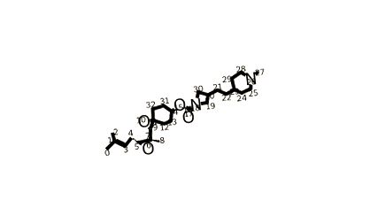 CC(C)=CC[C@H]1O[C@@]1(C)C1OC12CCC(OC(=O)N1CC(CCC3CCN(C)CC3)C1)CC2